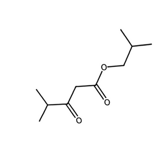 CC(C)COC(=O)CC(=O)C(C)C